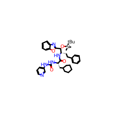 CC(C)(C)[Si](C)(C)OC(c1nc2ccccc2o1)[C@H](CCc1ccccc1)NC(=O)[C@H](CC1CCCCC1)NC(=O)Nc1cccnc1